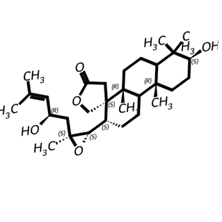 CC(C)=C[C@H](O)C[C@]1(C)O[C@H]1[C@H]1CCC2[C@@]3(C)CC[C@H](O)C(C)(C)C3CC[C@@]2(C)[C@@]12COC(=O)C2